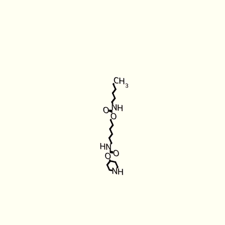 CCCCCCNC(=O)OCCCCCCNC(=O)OC1CCNCC1